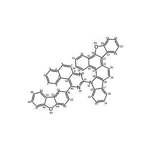 c1ccc2c(c1)ccc1nc(-n3c4ccccc4c4ccc5c6c7ccccc7oc6c6ccccc6c5c43)nc(-c3ccc4oc5ccccc5c4c3)c12